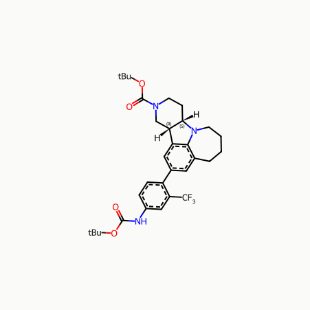 CC(C)(C)OC(=O)Nc1ccc(-c2cc3c4c(c2)[C@@H]2CN(C(=O)OC(C)(C)C)CC[C@@H]2N4CCCC3)c(C(F)(F)F)c1